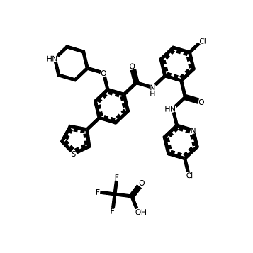 O=C(Nc1ccc(Cl)cn1)c1cc(Cl)ccc1NC(=O)c1ccc(-c2ccsc2)cc1OC1CCNCC1.O=C(O)C(F)(F)F